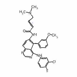 COc1cccc(-c2c(NC(=O)/C=C/CN(C)C)ccc3ncnc(Nc4ccc(F)c(Cl)c4)c23)c1